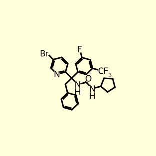 O=C(NC1CCCC1)NC(Cc1ccccc1)(c1cc(F)cc(C(F)(F)F)c1)c1ccc(Br)cn1